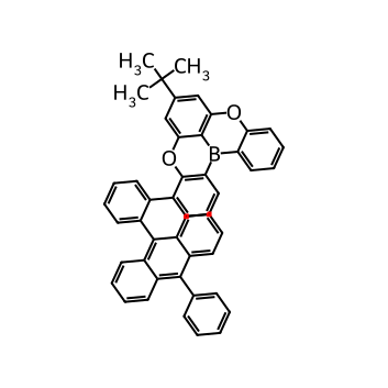 CC(C)(C)c1cc2c3c(c1)Oc1c(cccc1-c1ccccc1-c1c4ccccc4c(-c4ccccc4)c4ccccc14)B3c1ccccc1O2